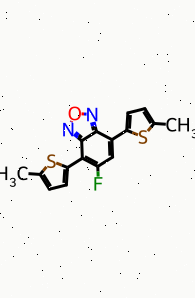 Cc1ccc(-c2cc(F)c(-c3ccc(C)s3)c3nonc23)s1